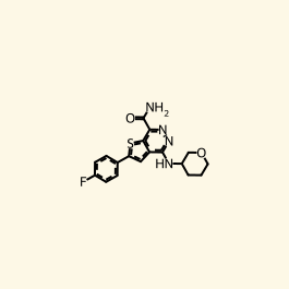 NC(=O)c1nnc(NC2CCCOC2)c2cc(-c3ccc(F)cc3)sc12